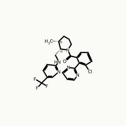 C[C@@H]1CCCN(C(=O)c2cccc(Cl)c2-c2ncccn2)[C@@H]1CNc1ccc(C(F)(F)F)cn1